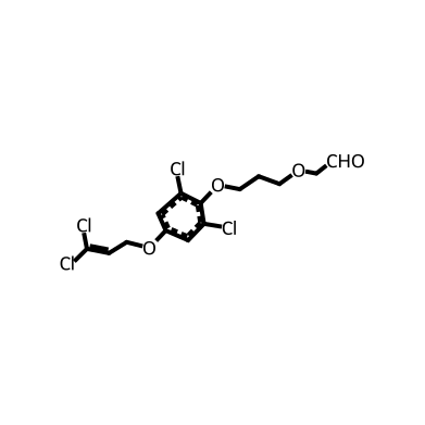 O=CCOCCCOc1c(Cl)cc(OCC=C(Cl)Cl)cc1Cl